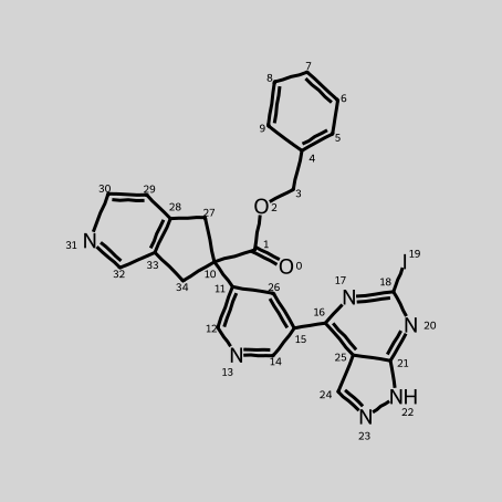 O=C(OCc1ccccc1)C1(c2cncc(-c3nc(I)nc4[nH]ncc34)c2)Cc2ccncc2C1